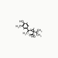 C=C(c1ccc(O)c(C)c1)C1CC1(C(=O)O)C(C)C